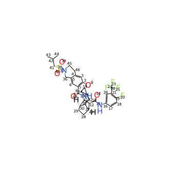 COc1cc2c(cc1C(=O)N[C@H]1[C@@H](C(=O)Nc3ccc(F)c(C(F)(F)F)c3)[C@H]3CC[C@@H]1/C3=C\C1CC1)CN(S(=O)(=O)CC(C)C)CC2